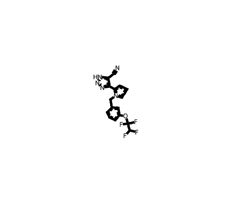 N#Cc1[nH]nnc1-c1cccn1Cc1cccc(OC(F)(F)C(F)F)c1